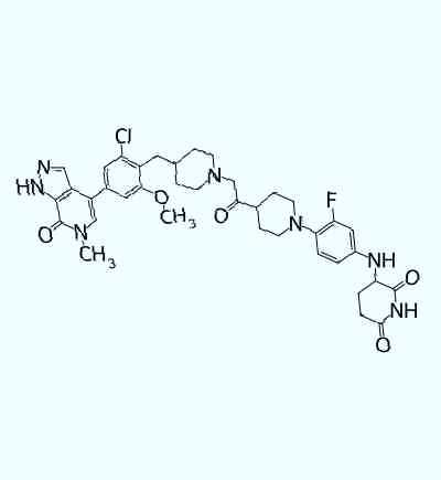 COc1cc(-c2cn(C)c(=O)c3[nH]ncc23)cc(Cl)c1CC1CCN(CC(=O)C2CCN(c3ccc(NC4CCC(=O)NC4=O)cc3F)CC2)CC1